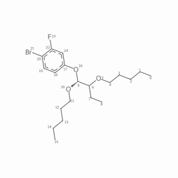 CCCCCOC(CC)[C@@H](OCCCCC)Oc1ccc(Br)c(F)c1